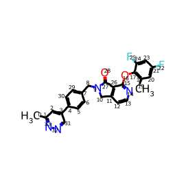 Cc1cc(-c2ccc(CN3Cc4ccnc(Oc5c(C)cc(F)cc5F)c4C3=O)cc2)cnn1